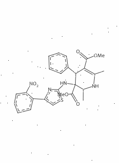 COC(=O)C1=C(C)NC(C)C(Nc2nc(-c3ccccc3[N+](=O)[O-])cs2)(C(=O)OC)C1c1ccccc1